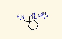 N.N.NCC1(CN)CCCCC1